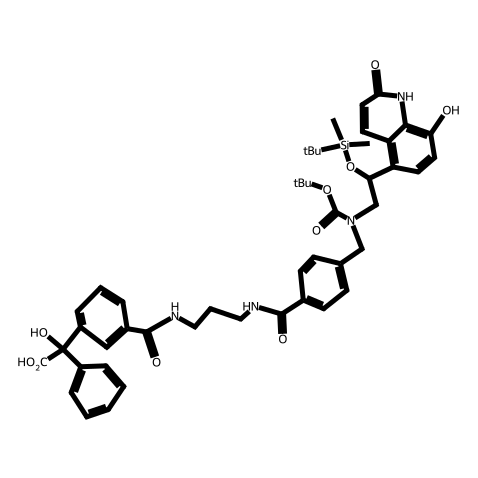 CC(C)(C)OC(=O)N(Cc1ccc(C(=O)NCCCNC(=O)c2cccc(C(O)(C(=O)O)c3ccccc3)c2)cc1)CC(O[Si](C)(C)C(C)(C)C)c1ccc(O)c2[nH]c(=O)ccc12